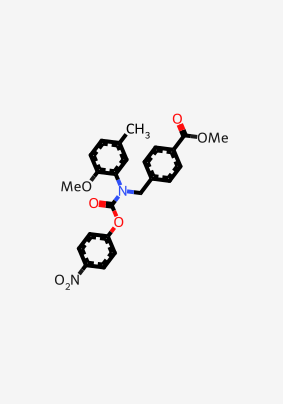 COC(=O)c1ccc(CN(C(=O)Oc2ccc([N+](=O)[O-])cc2)c2cc(C)ccc2OC)cc1